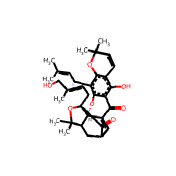 CC(C)=CCc1c2c(c(O)c3c1O[C@]14C(=CC5CC1C(C)(C)OC4(C/C=C(\C)CO)C5=O)C3=O)C=CC(C)(C)O2